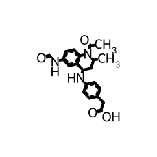 CC(=O)N1c2ccc(NC=O)cc2C(Nc2ccc(CC(=O)O)cc2)CC1C